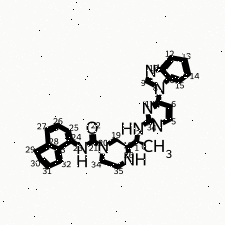 C[C@H](Nc1nccc(-n2cnc3ccccc32)n1)[C@@H]1CN(C(=O)Nc2cccc3ccccc23)CCN1